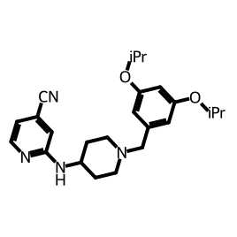 CC(C)Oc1cc(CN2CCC(Nc3cc(C#N)ccn3)CC2)cc(OC(C)C)c1